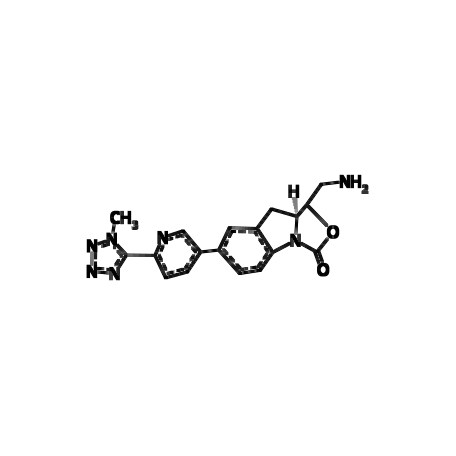 Cn1nnnc1-c1ccc(-c2ccc3c(c2)C[C@H]2C(CN)OC(=O)N32)cn1